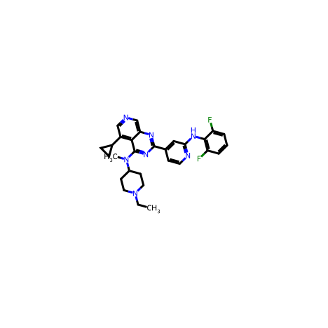 CCN1CCC(N(C)c2nc(-c3ccnc(Nc4c(F)cccc4F)c3)nc3cncc(C4CC4)c23)CC1